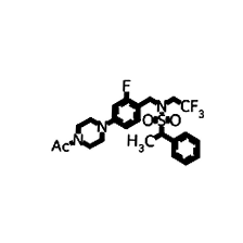 CC(=O)N1CCN(c2ccc(CN(CC(F)(F)F)S(=O)(=O)C(C)c3ccccc3)c(F)c2)CC1